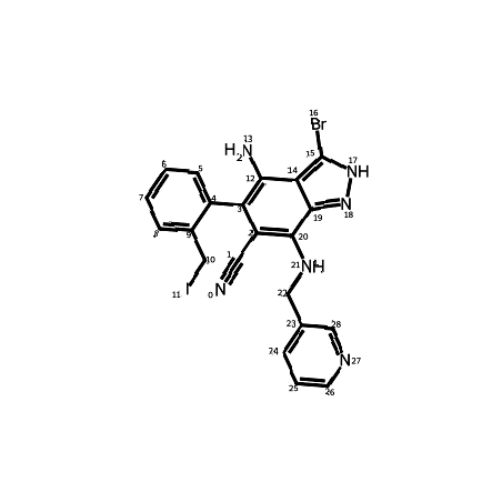 N#Cc1c(-c2ccccc2CI)c(N)c2c(Br)[nH]nc2c1NCc1cccnc1